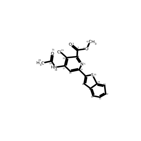 COC(=O)c1nc(-c2cc3ccccc3s2)cc(NC(C)=O)c1Cl